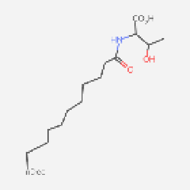 CCCCCCCCCCCCCCCCCCCC(=O)NC(C(=O)O)C(C)O